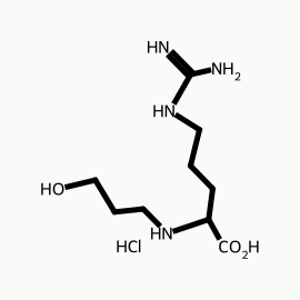 Cl.N=C(N)NCCCC(NCCCO)C(=O)O